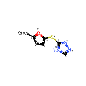 O=Cc1ccc(Sc2nnc[nH]2)o1